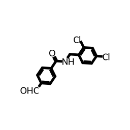 O=Cc1ccc(C(=O)NCc2ccc(Cl)cc2Cl)cc1